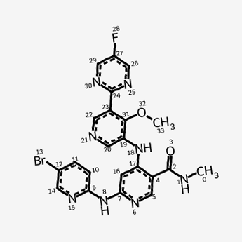 CNC(=O)c1cnc(Nc2ccc(Br)cn2)cc1Nc1cncc(-c2ncc(F)cn2)c1OC